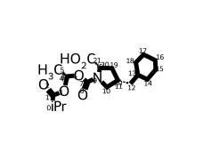 CC(C)C(=O)O[C@@H](C)OC(=O)N1C[C@@H](CC2CCCCC2)C[C@H]1C(=O)O